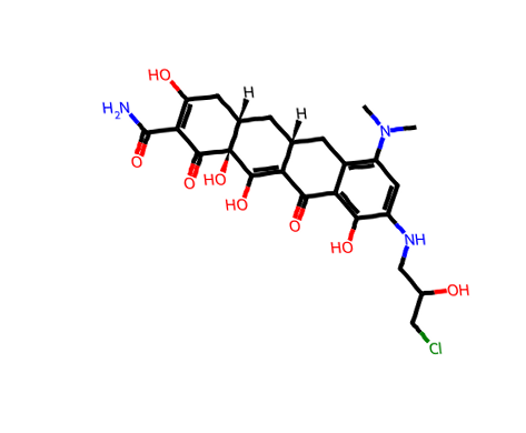 CN(C)c1cc(NCC(O)CCl)c(O)c2c1C[C@H]1C[C@H]3CC(O)=C(C(N)=O)C(=O)[C@@]3(O)C(O)=C1C2=O